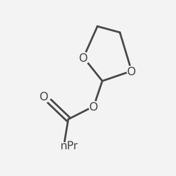 CCCC(=O)OC1OCCO1